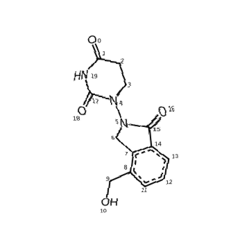 O=C1CCN(N2Cc3c(CO)cccc3C2=O)C(=O)N1